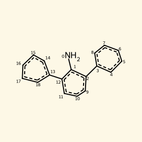 Nc1c(-c2ccccc2)cccc1-c1ccccc1